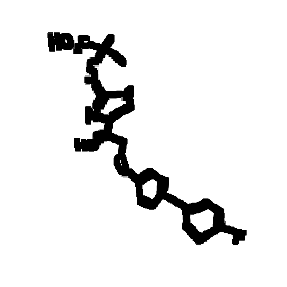 CC(C)(Sc1nc([C@@H](O)COc2ccc(-c3ccc(F)cc3)cc2)cs1)C(=O)O